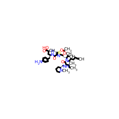 C#CCCCCN(C(=O)[C@@H](NC[C@H]1CCCCN1C)[C@@H](C)CC)[C@H](C[C@@H](OC(C)=O)c1nc(C(=O)N[C@@H](Cc2ccc(N)cc2)C[C@H](C)C(=O)O)cs1)C(C)C